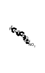 CC1(CN2CCc3nc(N4CCC(F)(F)CC4)ccc3C2)Cn2cc([N+](=O)[O-])nc2O1